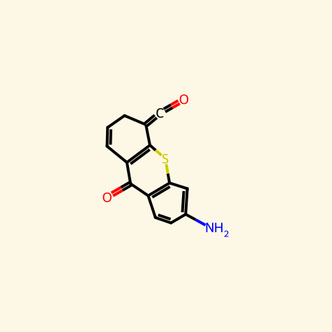 Nc1ccc2c(=O)c3c(sc2c1)C(=C=O)CC=C3